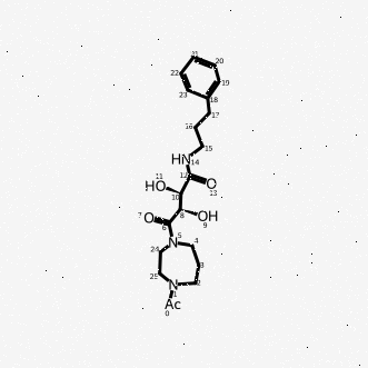 CC(=O)N1CCCN(C(=O)[C@H](O)[C@@H](O)C(=O)NCCCc2ccccc2)CC1